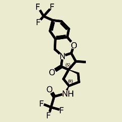 CC1C2Oc3ccc(C(F)(F)F)cc3CN2C(=O)[C@]12CC[C@@H](NC(=O)C(F)(F)F)C2